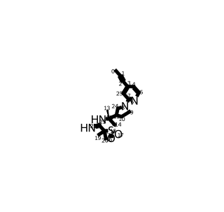 CC#Cc1ccnc(N2CCC([C@]3(C)CS(=O)(=O)C(C)(C)C(=N)N3)C2)c1